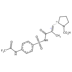 C/C(=C\[C@@H]1CCCN1C(=O)O)C(=O)NS(=O)(=O)c1ccc(NC(=O)C(F)(F)F)cc1